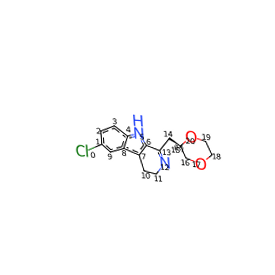 Clc1ccc2[nH]c3c(c2c1)CCN=C3C[C@@H]1COCCO1